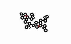 c1ccc2c(c1)-c1c(-c3c4cccc(-c5cccc6c5sc5ccccc56)c4cc4c(-c5cccc6c5sc5ccccc56)cccc34)cccc1C21CCC(c2ccc(-c3cccc4c(-c5cccc6c5-c5ccccc5C65CCCC5)c5cccc(-c6cccc7sc8ccccc8c67)c5cc34)c3c2sc2ccccc23)C1